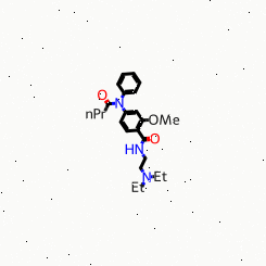 CCCC(=O)N(c1ccccc1)c1ccc(C(=O)NCCN(CC)CC)c(OC)c1